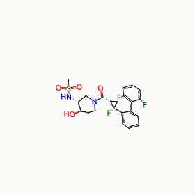 CS(=O)(=O)N[C@@H]1CN(C(=O)[C@@H]2C[C@@]2(F)c2ccccc2-c2c(F)cccc2F)CC[C@H]1O